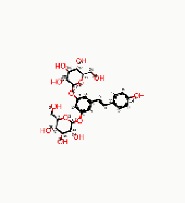 OC[C@H]1OC(Oc2cc(C=Cc3ccc(O)cc3)cc(OC3O[C@H](CO)[C@@H](O)[C@H](O)[C@H]3O)c2)[C@H](O)[C@@H](O)[C@@H]1O